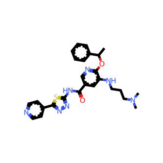 CC(Oc1ncc(C(=O)Nc2nnc(-c3ccncc3)s2)cc1NCCCN(C)C)c1ccccc1